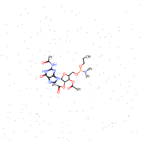 CC(C)C(=O)Nc1nc2c(ncn2[C@@H]2OC(COP(OCCC#N)N(C(C)C)C(C)C)[C@@H](OC(=O)C(C)C)[C@H]2OC(=O)C(C)C)c(=O)[nH]1